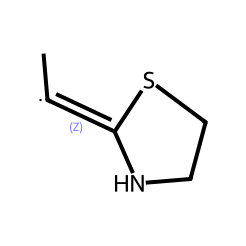 C/[C]=C1/NCCS1